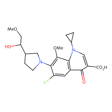 COCC(O)C1CCN(c2c(F)cc3c(=O)c(C(=O)O)cn(C4CC4)c3c2OC)C1